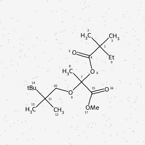 CCC(C)(C)C(=O)OC(C)(OCC(C)(C)C(C)(C)C)C(=O)OC